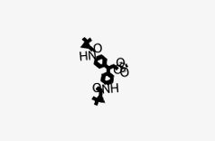 CC1(C)CC1C(=O)Nc1ccc(C(COS(C)(=O)=O)c2ccc(NC(=O)C3CC3(C)C)cc2)cc1